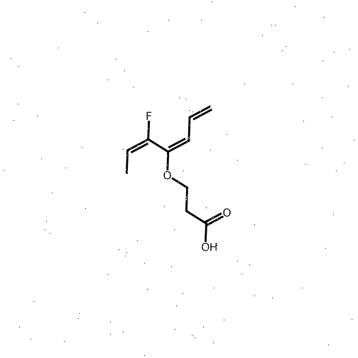 C=C/C=C(OCCC(=O)O)\C(F)=C/C